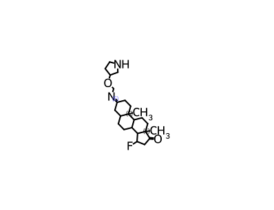 C[C@]12CC/C(=N\COC3CCNC3)CC1CCC1C2CC[C@]2(C)C(=O)CC(F)C12